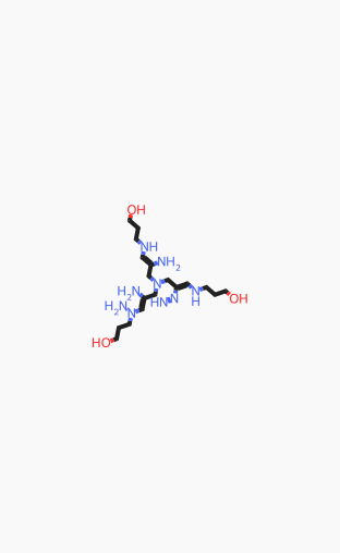 N=N/C(=C\NCCCO)CN(C/C(N)=C/NCCCO)C/C(N)=C/N(N)CCCO